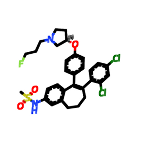 CS(=O)(=O)Nc1ccc2c(c1)CCCC(c1ccc(Cl)cc1Cl)=C2c1ccc(O[C@H]2CCN(CCCF)C2)cc1